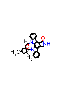 CC1CCC2(C1)C[C@H]1O[C@]2(C)n2c3ccccc3c3c4c(c5c6ccccc6n1c5c32)C(=O)NC4